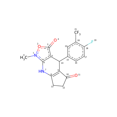 Cn1oc(=O)c2c1NC1=C(C(=O)CC1)C2c1ccc(F)c(C(F)(F)F)c1